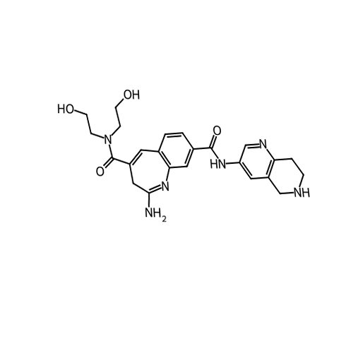 NC1=Nc2cc(C(=O)Nc3cnc4c(c3)CNCC4)ccc2C=C(C(=O)N(CCO)CCO)C1